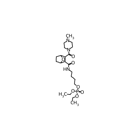 CCOP(=O)(OCC)OCCCCNC(=O)C1C2CCC(O2)C1C(=O)N1CCN(C)CC1